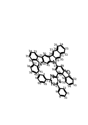 c1ccc(-c2nc(-c3ccccc3)nc(-c3cc(-n4c5cc6ccccc6cc5c5cc6c7cccc8c9ccccc9n(c6cc54)c87)cc4oc5ccccc5c34)n2)cc1